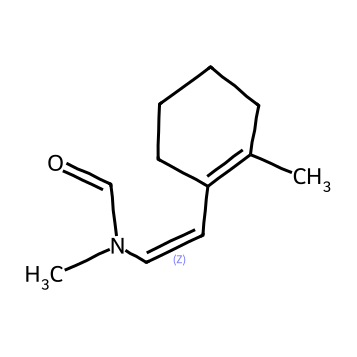 CC1=C(/C=C\N(C)C=O)CCCC1